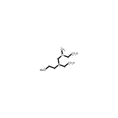 COCCN(CC(=O)O)[CH2][Co]([CH3])[CH2]C(=O)O